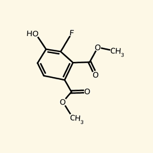 COC(=O)c1ccc(O)c(F)c1C(=O)OC